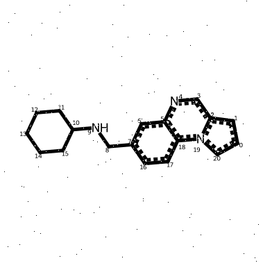 c1cc2cnc3cc(CNC4CCCCC4)ccc3n2c1